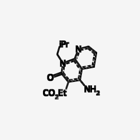 CCOC(=O)c1c(N)c2cccnc2n(CC(C)C)c1=O